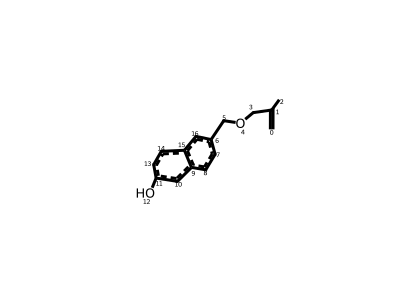 C=C(C)COCc1ccc2cc(O)ccc2c1